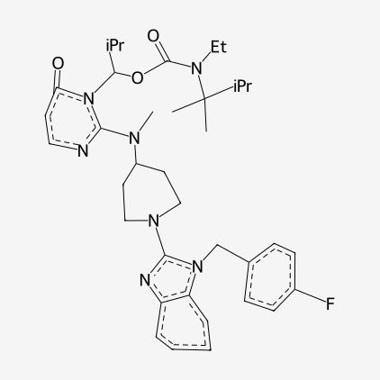 CCN(C(=O)OC(C(C)C)n1c(N(C)C2CCN(c3nc4ccccc4n3Cc3ccc(F)cc3)CC2)nccc1=O)C(C)(C)C(C)C